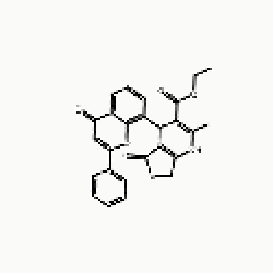 CCOC(=O)C1=C(C)NC2=C(C(=O)SC2)C1c1cccc2c(=O)cc(-c3ccccc3)oc12